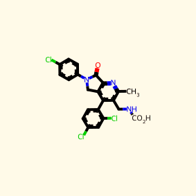 Cc1nc2c(c(-c3ccc(Cl)cc3Cl)c1CNC(=O)O)CN(c1ccc(Cl)cc1)C2=O